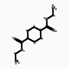 O=C(OCC(F)(F)F)C1CCC(C(=O)OCC(F)(F)F)CC1